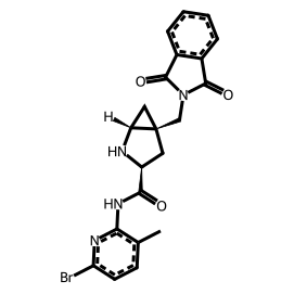 Cc1ccc(Br)nc1NC(=O)[C@@H]1C[C@@]2(CN3C(=O)c4ccccc4C3=O)C[C@H]2N1